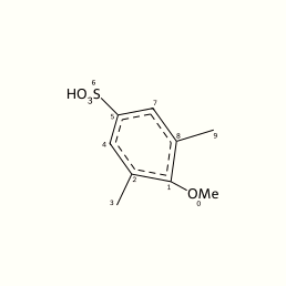 COc1c(C)cc(S(=O)(=O)O)cc1C